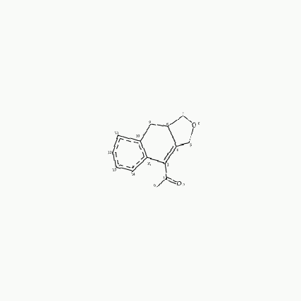 CC(=O)C1=C2COCC2Cc2ccccc21